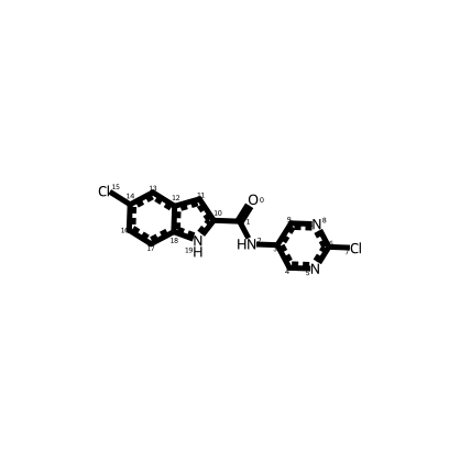 O=C(Nc1cnc(Cl)nc1)c1cc2cc(Cl)ccc2[nH]1